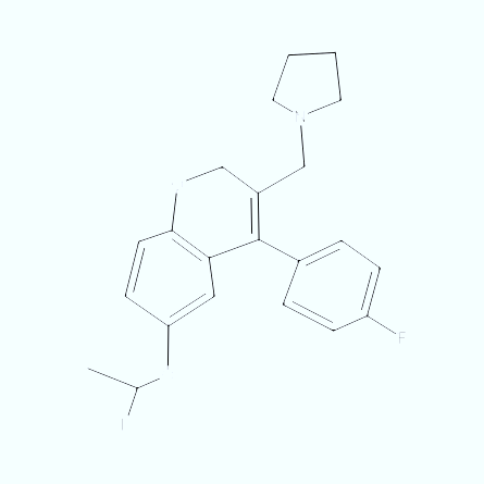 Fc1ccc(C2=C(CN3CCCC3)COc3ccc(OC(F)F)cc32)cc1